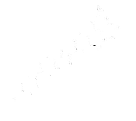 C[C@H]1CN(C(=O)Nc2ccc(N3CCN(C)CC3)cn2)CCN1c1nc(N)nc2scnc12